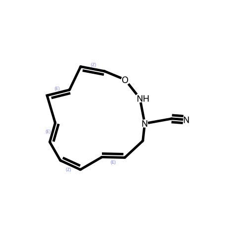 N#CN1C/C=C/C=C\C=C\C=C\C=C/ON1